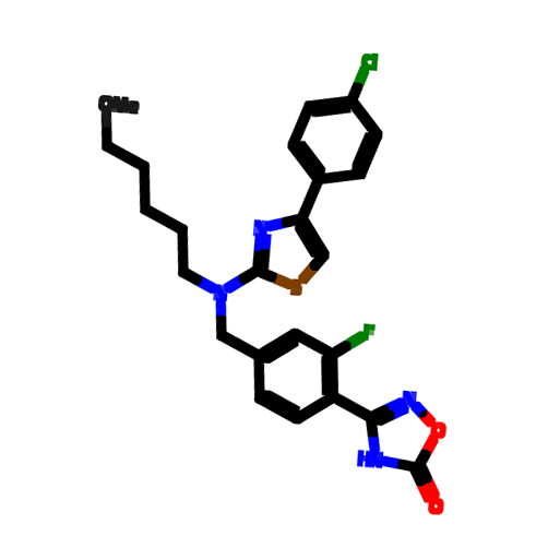 COCCCCCN(Cc1ccc(-c2noc(=O)[nH]2)c(F)c1)c1nc(-c2ccc(Cl)cc2)cs1